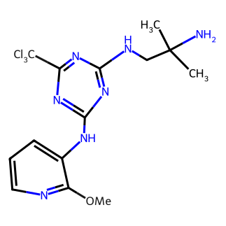 COc1ncccc1Nc1nc(NCC(C)(C)N)nc(C(Cl)(Cl)Cl)n1